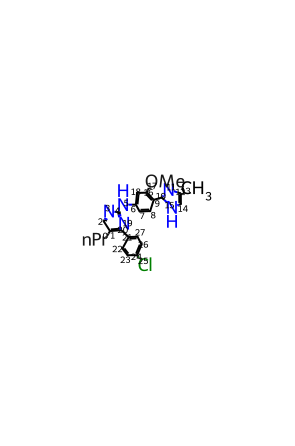 CCCc1cnc(Nc2ccc(-c3nc(C)c[nH]3)c(OC)c2)nc1-c1ccc(Cl)cc1